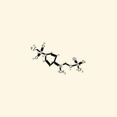 C[N+](COS(=O)(=O)C(F)(F)F)=c1ccn(S(=O)(=O)C(F)(F)F)cc1